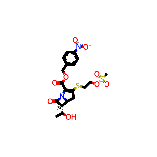 CC(O)[C@@H]1C(=O)N2C(C(=O)OCc3ccc([N+](=O)[O-])cc3)=C(SCCOS(C)(=O)=O)CC12